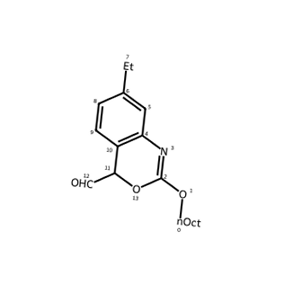 CCCCCCCCOC1=Nc2cc(CC)ccc2C(C=O)O1